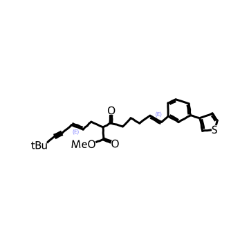 COC(=O)C(C/C=C/C#CC(C)(C)C)C(=O)CCC/C=C/c1cccc(-c2ccsc2)c1